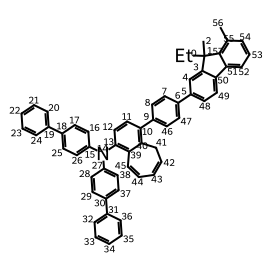 CCC1(C)c2cc(-c3ccc(-c4ccc(N(c5ccc(-c6ccccc6)cc5)c5ccc(-c6ccccc6)cc5)c5c4CC=CC=C5)cc3)ccc2-c2cccc(C)c21